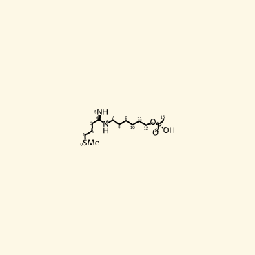 CSCCCC(=N)NCCCCCCOP(C)(=O)O